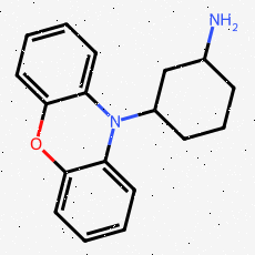 NC1CCCC(N2c3ccccc3Oc3ccccc32)C1